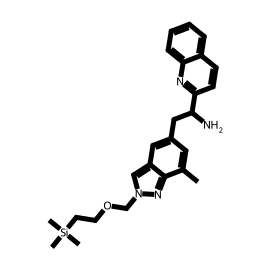 Cc1cc(CC(N)c2ccc3ccccc3n2)cc2cn(COCC[Si](C)(C)C)nc12